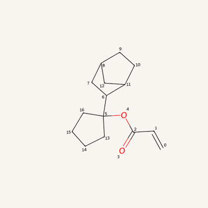 C=CC(=O)OC1(C2CC3CCC2C3)CCCC1